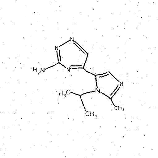 Cc1ncc(-c2cnnc(N)n2)n1C(C)C